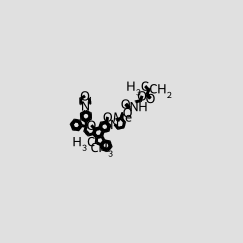 C=C(C)C(=O)OCCNC(=O)OCC1CCCN(c2cc3c4c(c5c(c3cc2OC)OC(c2ccccc2)(c2ccc(N3CCOCC3)cc2)C=C5)C(C)(C)c2ccccc2-4)C1